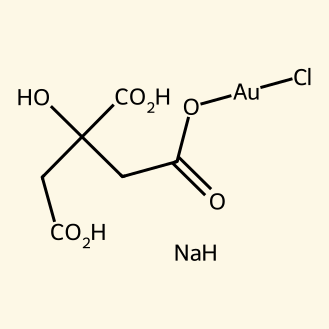 O=C(O)CC(O)(CC(=O)[O][Au][Cl])C(=O)O.[NaH]